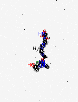 CCc1cccc2cc(O)cc(-c3ncc4c(N5CC6CCC(C5)N6)nc(OCC5(CN6CC7(CCC(C)(N8CCN(c9ccc%10c(c9)CN(C9CCC(=O)NC9=O)C%10=O)CC8)CC7)C6)CC5)nc4c3F)c12